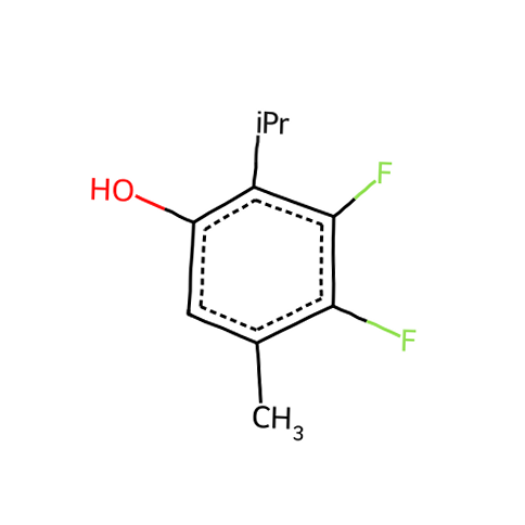 Cc1cc(O)c(C(C)C)c(F)c1F